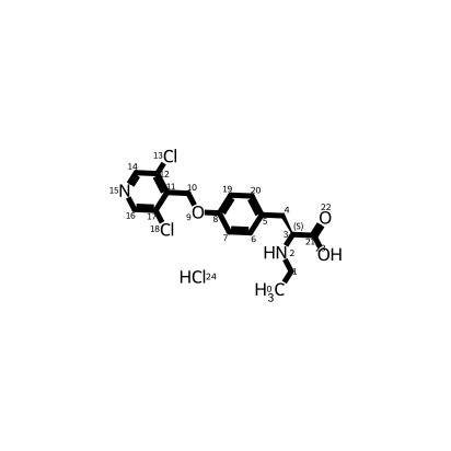 CCN[C@@H](Cc1ccc(OCc2c(Cl)cncc2Cl)cc1)C(=O)O.Cl